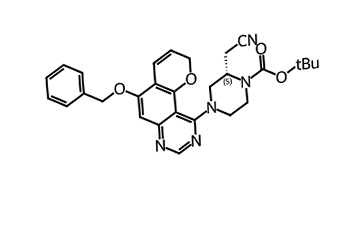 CC(C)(C)OC(=O)N1CCN(c2ncnc3cc(OCc4ccccc4)c4c(c23)OCC=C4)C[C@@H]1CC#N